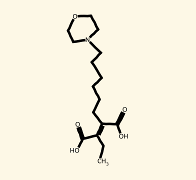 CCC(C(=O)O)=C(CCCCCCN1CCOCC1)C(=O)O